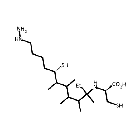 CCC(C)(N[C@H](CS)C(=O)O)C(C)C(C)C(C)C(C)[C@@H](S)CCCCNN